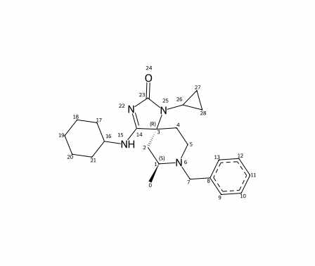 C[C@H]1C[C@]2(CCN1Cc1ccccc1)C(NC1CCCCC1)=NC(=O)N2C1CC1